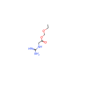 CCOCOC(=O)CNC(=N)N